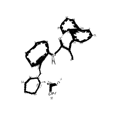 CC(C(=O)Nc1ccccc1C[C@@H]1CCCC[C@H]1C(=O)O)c1cccc2ccccc12